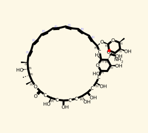 C[C@@H]1[C@H](O)[C@@H](C)/C=C/C=C/C=C/C=C/C=C/C=C/C=C/[C@H](O[C@@H]2C[C@@H](N)[C@H](O)[C@H](C)O2)C[C@@H]2O[C@](O)(C[C@@H](O)CC(O)[C@H](O)CCC(O)C[C@@H](O)CC(=O)O[C@H]1C)C[C@H](O)[C@H]2C(=O)O